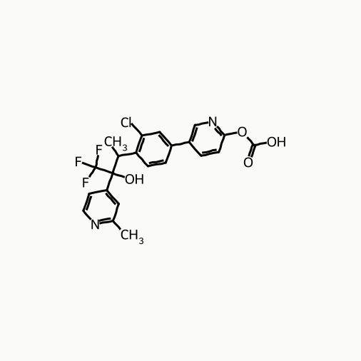 Cc1cc(C(O)(C(C)c2ccc(-c3ccc(OC(=O)O)nc3)cc2Cl)C(F)(F)F)ccn1